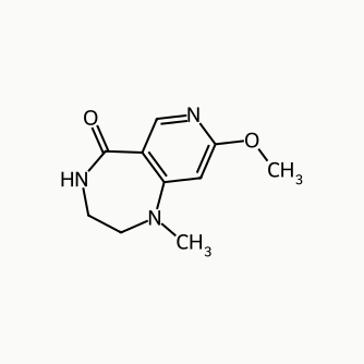 COc1cc2c(cn1)C(=O)NCCN2C